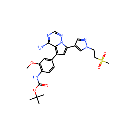 COc1cc(-c2cc(-c3cnn(CCS(C)(=O)=O)c3)n3ncnc(N)c23)ccc1NC(=O)OC(C)(C)C